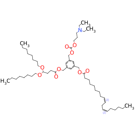 CCCCC/C=C\C/C=C\CCCCCCCC(=O)OCc1cc(COC(=O)CCC(OCCCCCCCC)OCCCCCCCC)cc(COC(=O)OCCCN(CC)CC)c1